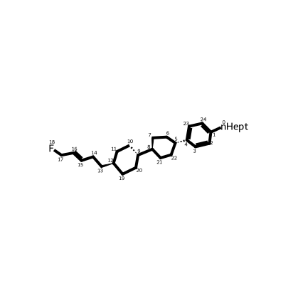 CCCCCCCc1ccc([C@H]2CC[C@H]([C@H]3CC[C@H](CCC=CCF)CC3)CC2)cc1